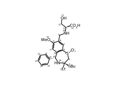 CCCC[C@]1(CC)C[S+]([O-])c2cc(CN[C@@H](CO)C(=O)O)c(OC)cc2[C@@H](c2ccccc2)N1